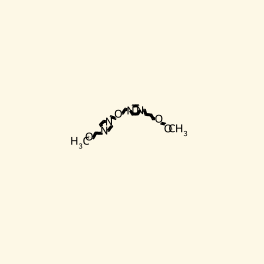 COCCCN1CCN(CCOCCN2CCN(CCCCOCCOC)CC2)CC1